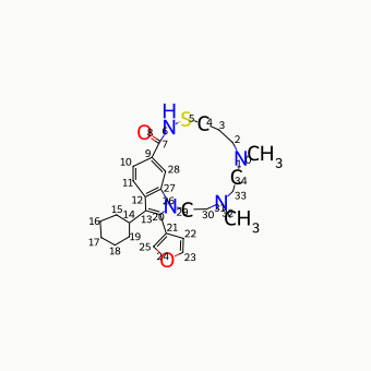 CN1CCCSNC(=O)c2ccc3c(C4CCCCC4)c(-c4ccoc4)n(c3c2)CCN(C)CC1